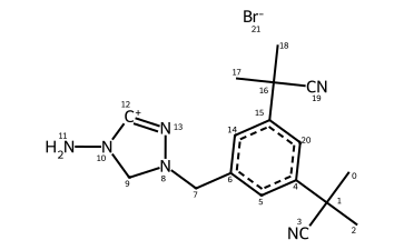 CC(C)(C#N)c1cc(CN2CN(N)[C+]=N2)cc(C(C)(C)C#N)c1.[Br-]